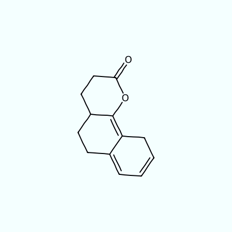 O=C1CCC2CCC3=CC=CCC3=C2O1